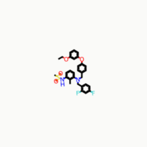 CCOc1cccc(Oc2ccc(CN(Cc3ccc(F)cc3F)c3cccc(NS(C)(=O)=O)c3C)cc2)c1